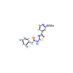 CNc1cc(-c2csc(NC(=O)Cc3ccc(F)cc3F)n2)ccn1